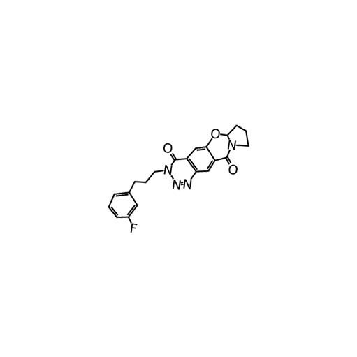 O=C1c2cc3nnn(CCCc4cccc(F)c4)c(=O)c3cc2OC2CCCN12